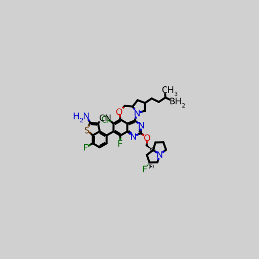 BC(C)CCC1CC2COc3c(Cl)c(-c4ccc(F)c5sc(N)c(C#N)c45)c(F)c4nc(OC[C@@]56CCCN5C[C@H](F)C6)nc(c34)N2C1